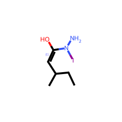 CCC(C)/C=C(/O)N(N)I